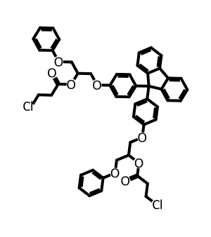 O=C(CCCl)OC(COc1ccccc1)COc1ccc(C2(c3ccc(OCC(COc4ccccc4)OC(=O)CCCl)cc3)c3ccccc3-c3ccccc32)cc1